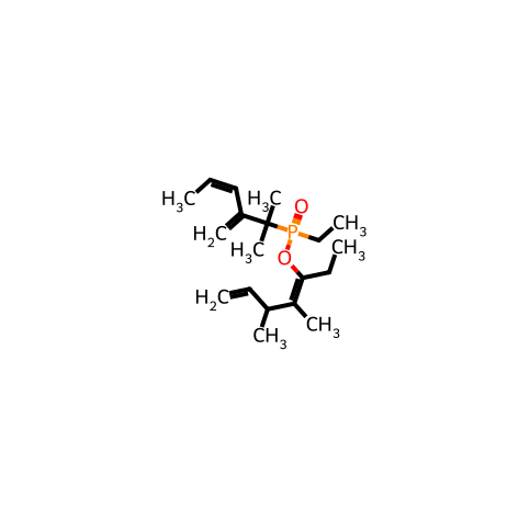 C=CC(C)/C(C)=C(/CC)OP(=O)(CC)C(C)(C)C(=C)/C=C\C